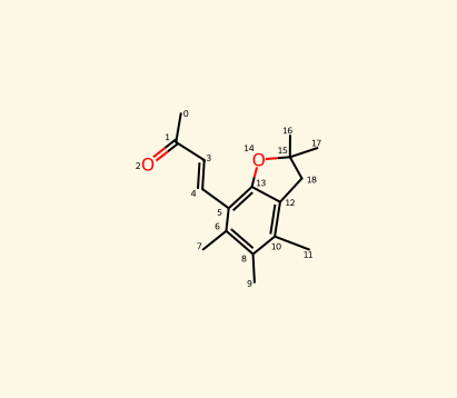 CC(=O)C=Cc1c(C)c(C)c(C)c2c1OC(C)(C)C2